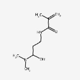 C=C(C)C(=O)NCCC(O)N(C)C